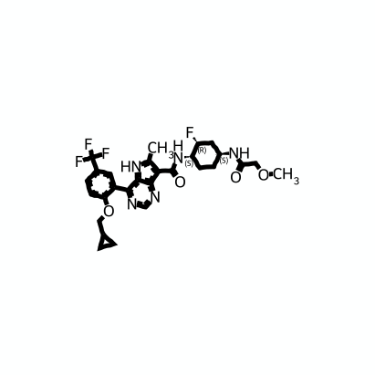 COCC(=O)N[C@H]1CC[C@H](NC(=O)c2c(C)[nH]c3c(-c4cc(C(F)(F)F)ccc4OCC4CC4)ncnc23)[C@H](F)C1